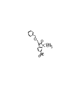 CCC1(CC)C(=O)N(CCOCc2ccccc2)c2ccc([N+](=O)[O-])cc21